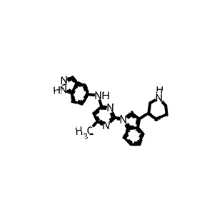 Cc1cc(Nc2ccc3[nH]ncc3c2)nc(-n2cc(C3CCCNC3)c3ccccc32)n1